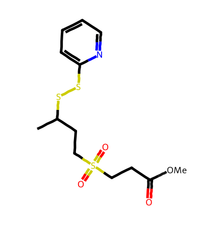 COC(=O)CCS(=O)(=O)CCC(C)SSc1ccccn1